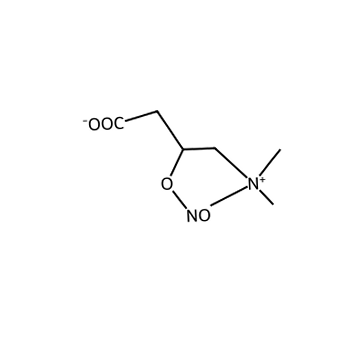 C[N+](C)(C)CC(CC(=O)[O-])ON=O